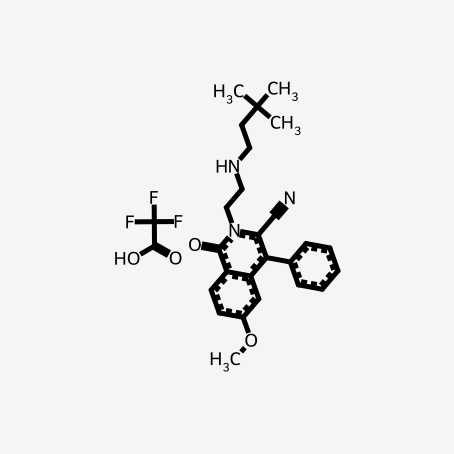 COc1ccc2c(=O)n(CCNCCC(C)(C)C)c(C#N)c(-c3ccccc3)c2c1.O=C(O)C(F)(F)F